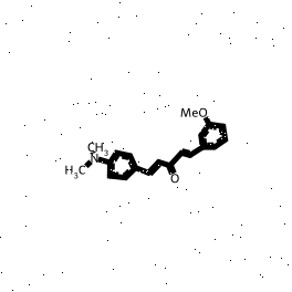 COc1cccc(C=CC(=O)C=Cc2ccc(N(C)C)cc2)c1